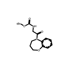 CC(C)(C)OC(=O)NCC(=O)N1CCCOc2ccccc21